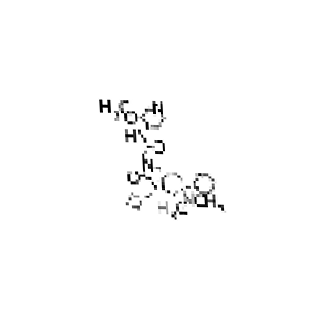 COc1cnccc1NC(=O)CN1C[C@]2(CC[C@@](c3ccccc3)(N(C)C)CC2)N(CC2CCC2)C1=O